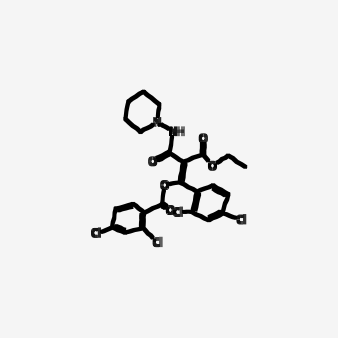 CCOC(=O)C(C(=O)NN1CCCCC1)=C(OC(=O)c1ccc(Cl)cc1Cl)c1ccc(Cl)cc1Cl